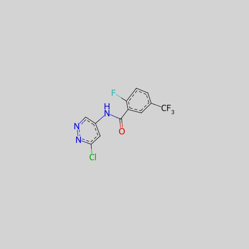 O=C(Nc1cnnc(Cl)c1)c1cc(C(F)(F)F)ccc1F